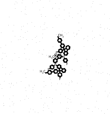 C=CC1C=CC(C2C=CC(C3(c4ccc(F)cc4)c4cc(N(C5=CC6C7C=C(N(C8=CC=C(F)CC8)c8ccc9c(c8)C(C8C=CC(C%10=CCC(C=C)CC%10)=CC8)(C8CC=C(F)CC8)c8ccccc8-9)C=CC7[Si](C)(C)C6C=C5)c5ccc(F)cc5)ccc4C4C=CCCC43)=CC2)=CC1